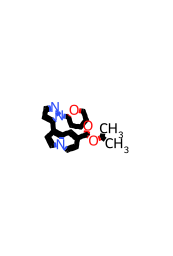 CC(C)OC(=O)c1ccn2ccc(-c3ccnn3C3CCCCO3)c2c1